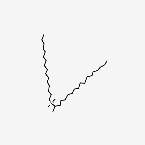 CCCCCCCCCCCCCCCCC(C)[N+](C)(C)CCCCCCCCCCCCCCCC